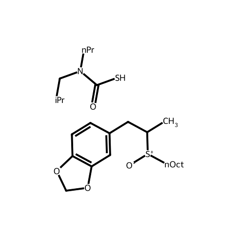 CCCCCCCC[S+]([O-])C(C)Cc1ccc2c(c1)OCO2.CCCN(CC(C)C)C(=O)S